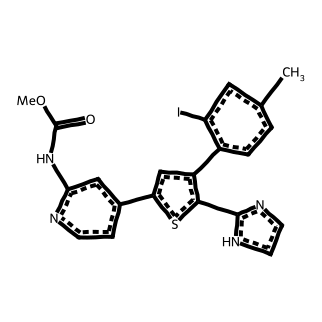 COC(=O)Nc1cc(-c2cc(-c3ccc(C)cc3I)c(-c3ncc[nH]3)s2)ccn1